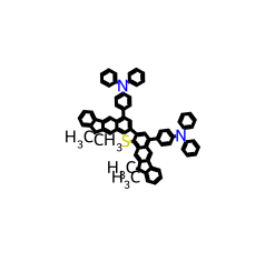 CC1(C)c2ccccc2-c2cc3c(-c4ccc(N(c5ccccc5)c5ccccc5)cc4)cc4c5cc(-c6ccc(N(c7ccccc7)c7ccccc7)cc6)c6cc7c(cc6c5sc4c3cc21)C(C)(C)c1ccccc1-7